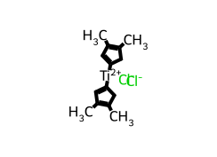 CC1=C(C)C[C]([Ti+2][C]2=CC(C)=C(C)C2)=C1.[Cl-].[Cl-]